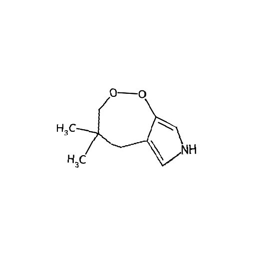 CC1(C)COOc2c[nH]cc2C1